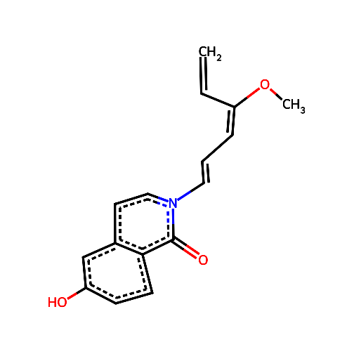 C=C/C(=C\C=C\n1ccc2cc(O)ccc2c1=O)OC